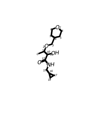 CC(OCC1CCOCC1)C(O)C(=O)NCC1CC1